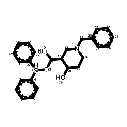 CC(C)(C)C(O[SiH](c1ccccc1)c1ccccc1)C1CN(Cc2ccccc2)CCC1O